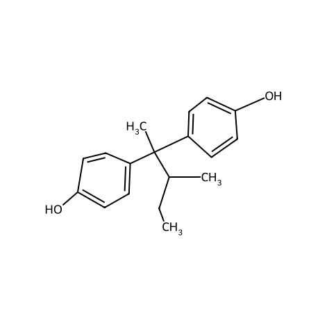 CCC(C)C(C)(c1ccc(O)cc1)c1ccc(O)cc1